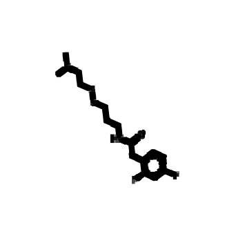 CN(C)CCSSCCCNC(=O)Cc1ccc(F)cc1F